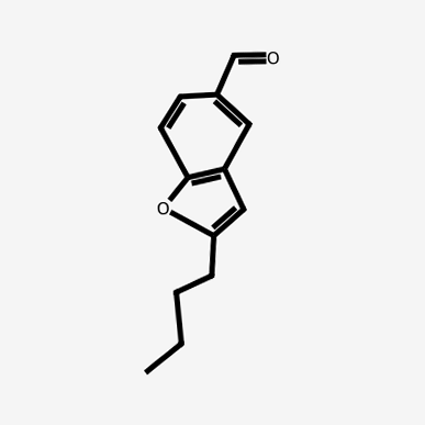 CCCCc1cc2cc(C=O)ccc2o1